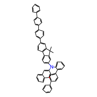 CC1(C)c2cc(-c3ccc(-c4ccc(-c5ccccc5)cc4)cc3)ccc2-c2ccc(N(c3ccc4ccccc4c3)c3ccccc3-c3ccc(-c4ccccc4)cc3)cc21